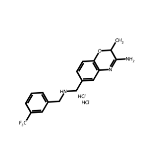 CC1Oc2ccc(CNCc3cccc(C(F)(F)F)c3)cc2N=C1N.Cl.Cl